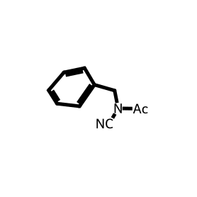 [CH2]C(=O)N(C#N)Cc1ccccc1